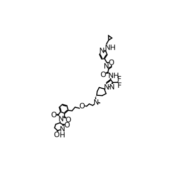 CN(CCCOCCCc1cccc2c1C(=O)N(C1CCC(=O)NC1=O)C2=O)C[C@H]1CC[C@H](n2cc(NC(=O)c3coc(-c4ccnc(NCC5CC5)c4)n3)c(C(F)F)n2)CC1